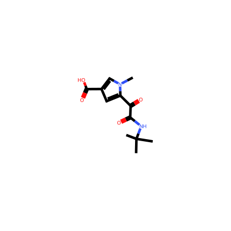 Cn1cc(C(=O)O)cc1C(=O)C(=O)NC(C)(C)C